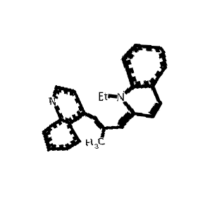 CCN1C(=CC(C)=Cc2ccnc3ccccc23)C=Cc2ccccc21